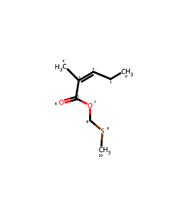 CCC=C(C)C(=O)OCSC